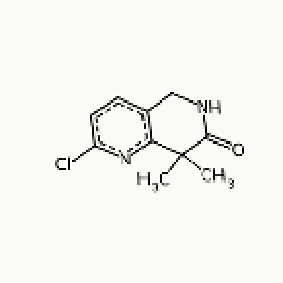 CC1(C)C(=O)NCc2ccc(Cl)nc21